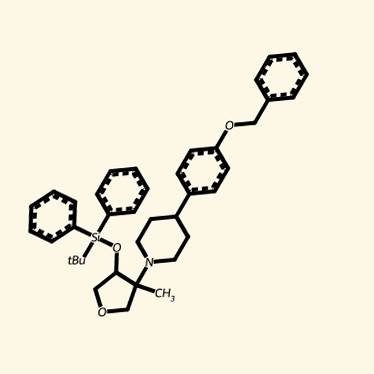 CC1(N2CCC(c3ccc(OCc4ccccc4)cc3)CC2)COCC1O[Si](c1ccccc1)(c1ccccc1)C(C)(C)C